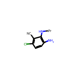 CC(C)Nc1c(N)ccc(Cl)c1C#N